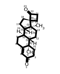 C[C@]12CCC(=O)C=C1CC[C@@H]1[C@@H]2CC[C@@]2(C)[C@H]1CC[C@@]21CCC1=O